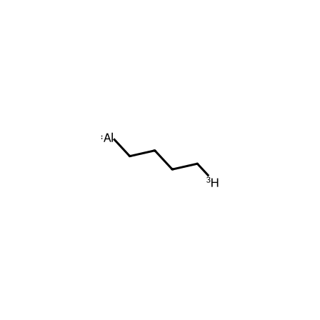 [3H]CCC[CH2][Al]